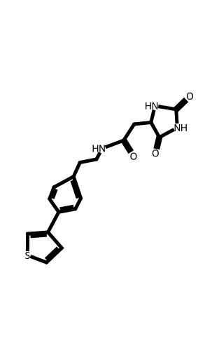 O=C(CC1NC(=O)NC1=O)NCCc1ccc(-c2ccsc2)cc1